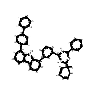 CC1(c2nc(-c3ccccc3)nc(-c3cccc(-c4cccc5c4sc4c(-c6ccc(-c7ccccc7)cc6)cccc45)c3)n2)C=CC=CC1